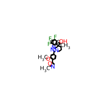 COc1cc(-c2nnc3n2CCCC3(c2cc(F)c(F)c(F)c2)C(C)(C)O)ccc1-c1cnc(C)o1